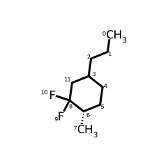 CCCC1CC[C@H](C)C(F)(F)C1